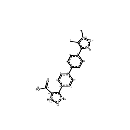 Cc1c(-c2ccc(-c3ccc(-c4nn[nH]c4C(=O)O)cc3)cc2)nnn1C